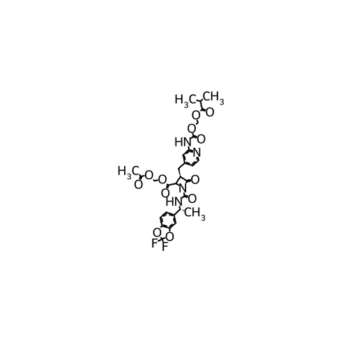 CC(=O)OCOC(=O)C1[C@@H](Cc2ccnc(NC(=O)OCOC(=O)C(C)C)c2)C(=O)N1C(=O)N[C@H](C)c1ccc2c(c1)OC(F)(F)O2